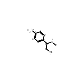 Bc1ccc(C(CO)OC)cc1